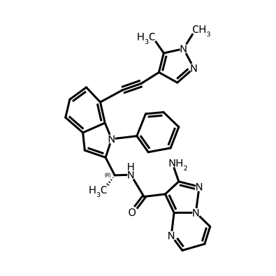 Cc1c(C#Cc2cccc3cc([C@@H](C)NC(=O)c4c(N)nn5cccnc45)n(-c4ccccc4)c23)cnn1C